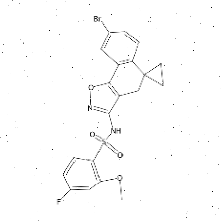 COc1cc(F)ccc1S(=O)(=O)Nc1noc2c1CC1(CC1)c1ccc(Br)cc1-2